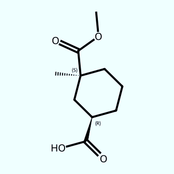 COC(=O)[C@@]1(C)CCC[C@@H](C(=O)O)C1